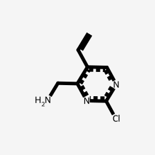 C=Cc1cnc(Cl)nc1CN